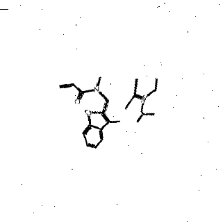 C=CC(=O)N(C)Cc1oc2ccccc2c1C.CCN(C(C)C)C(C)C